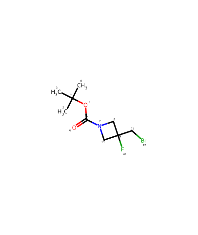 CC(C)(C)OC(=O)N1CC(F)(CBr)C1